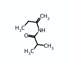 C=C(CC)NC(=O)C(C)C